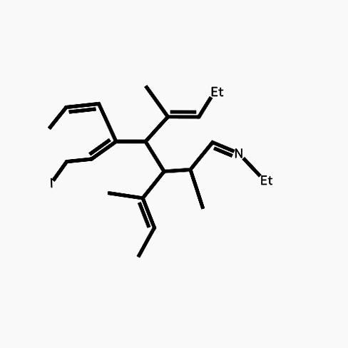 C/C=C\C(=C/CI)C(/C(C)=C/CC)C(/C(C)=C/C)C(C)/C=N\CC